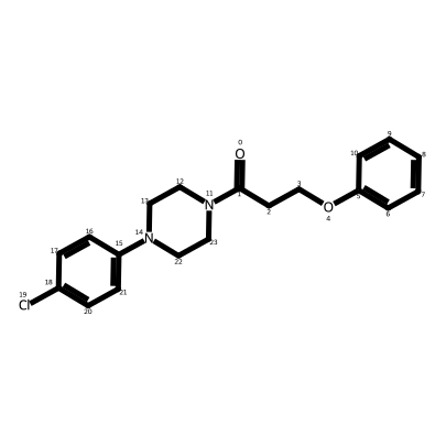 O=C(CCOc1ccccc1)N1CCN(c2ccc(Cl)cc2)CC1